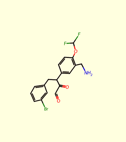 NCc1cc(C(Cc2cccc(Br)c2)C(=O)C=O)ccc1OC(F)F